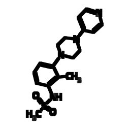 Cc1c(NS(C)(=O)=O)cccc1N1CCN(c2ccncc2)CC1